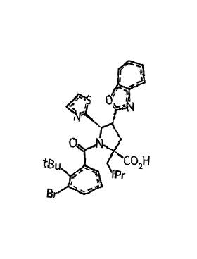 CC(C)C[C@@]1(C(=O)O)C[C@H](c2nc3ccccc3o2)[C@H](c2nccs2)N1C(=O)c1cccc(Br)c1C(C)(C)C